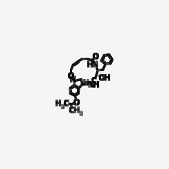 CC(C)Oc1ccc2c(c1)[C@@H]1C[C@H]2OC/C=C/CCC(=O)N[C@@H](Cc2ccccc2)[C@H](O)CN1